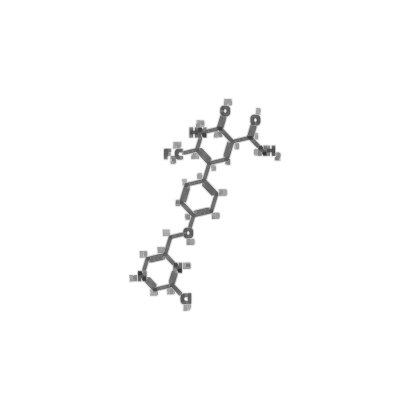 NC(=O)c1cc(-c2ccc(OCc3cncc(Cl)n3)cc2)c(C(F)(F)F)[nH]c1=O